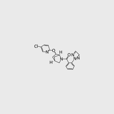 O=C(c1ccccc1-n1nccn1)N1C[C@H]2C[C@@H](Oc3ccc(Cl)cn3)[C@@H]1C2